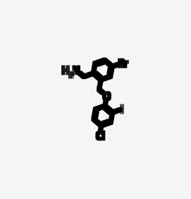 NCc1ccc(Br)cc1COc1ccc(Cl)cc1I